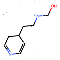 OCNCCC1C=CN=CC1